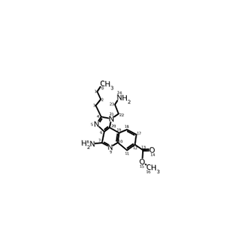 CCCCc1nc2c(N)nc3cc(C(=O)OC)ccc3c2n1CCN